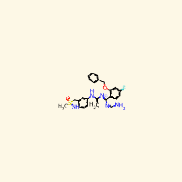 C=C(/N=C(\N=C/N)c1ccc(F)cc1OCc1ccccc1)Nc1cccc(CS(C)(=N)=O)c1